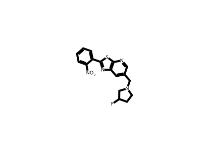 O=[N+]([O-])c1ccccc1-c1nc2cc(CN3CCC(F)C3)cnc2s1